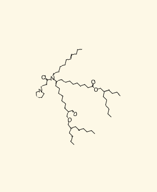 CCCCCCCCCCN(C(=O)CCN1CCCC1)C(CCCCCCCCC(=O)OCC(CCCC)CCCCCC)CCCCCCCC(C=O)COCC(CCCC)CCCCCC